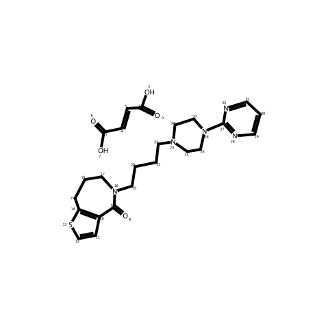 O=C(O)C=CC(=O)O.O=C1c2ccsc2CCCN1CCCCN1CCN(c2ncccn2)CC1